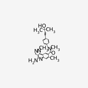 Cc1cc2nc(N)c3cnn(C)c3c2cc1C(=O)N(C)Cc1ccc(C#CC(C)(C)O)cc1